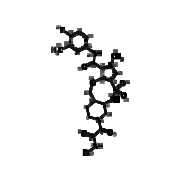 CCNC(=O)C(=O)N1CCC2COc3c(cn(C)c3C(=O)Nc3ccc(F)c(C)c3)S(=O)(=O)NC2C1